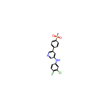 CS(=O)(=O)c1ccc(-c2cncc(Nc3ccc(F)c(Cl)c3)c2)cc1